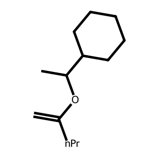 C=C(CCC)OC(C)C1CCCCC1